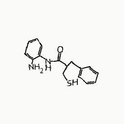 Nc1ccccc1NC(=O)C(CS)Cc1ccccc1